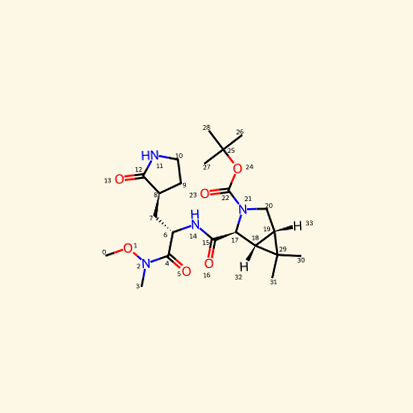 CON(C)C(=O)[C@H](C[C@@H]1CCNC1=O)NC(=O)[C@@H]1[C@@H]2[C@H](CN1C(=O)OC(C)(C)C)C2(C)C